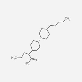 C=CCC(C(=O)O)C1CCC([C@H]2CC[C@H](CCCCC)CC2)CC1